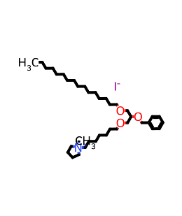 CCCCCCCCCCCCCCCCOCC(COCCCCCCC[N+]1(C)CCCC1)OCc1ccccc1.[I-]